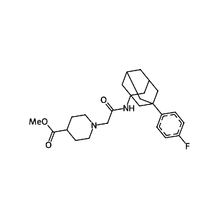 COC(=O)C1CCN(CC(=O)NC23CC4CC(C2)CC(c2ccc(F)cc2)(C4)C3)CC1